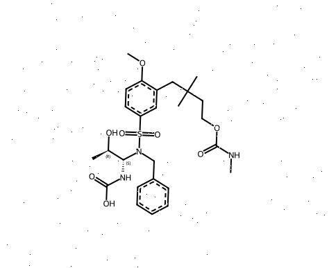 CNC(=O)OCCC(C)(C)Cc1cc(S(=O)(=O)N(Cc2ccccc2)[C@H](NC(=O)O)[C@@H](C)O)ccc1OC